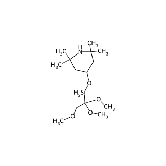 COCC(OC)(OC)[SiH2]OC1CC(C)(C)NC(C)(C)C1